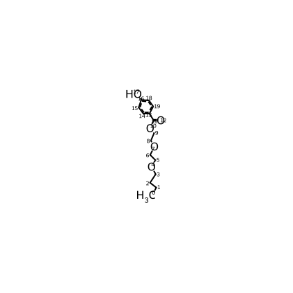 CCCCOCCOCCOC(=O)c1ccc(O)cc1